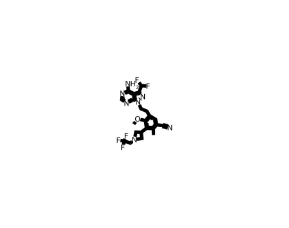 COc1c(CCn2nc(C(F)F)c3c(N)ncnc32)cc(C#N)c(C)c1C1CN(CC(F)(F)F)C1